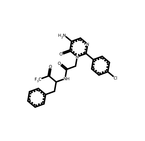 Nc1cnc(-c2ccc(Cl)cc2)n(CC(=O)NC(Cc2ccccc2)C(=O)C(F)(F)F)c1=O